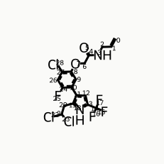 C=CCNC(=O)COc1cc(-c2cc(C(F)(F)F)[nH]c2CC(Cl)Cl)c(F)cc1Cl